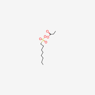 CCCCCCCCS(=O)(=O)OOC(=O)CC